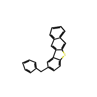 c1ccc(Cc2ccc3sc4cc5ccccc5cc4c3c2)cc1